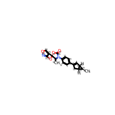 CC1N(c2ccc(C3=C[C@@H]4[C@@H](C#N)[C@@H]4C3)cc2)C(=O)O[C@@]12Oc1nocc12